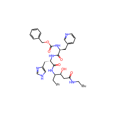 CCC(C)CNC(=O)CC(O)C(CC(C)C)NC(=O)[C@H](Cc1c[nH]cn1)NC(=O)[C@H](Cc1cccnc1)NC(=O)OCc1ccccc1